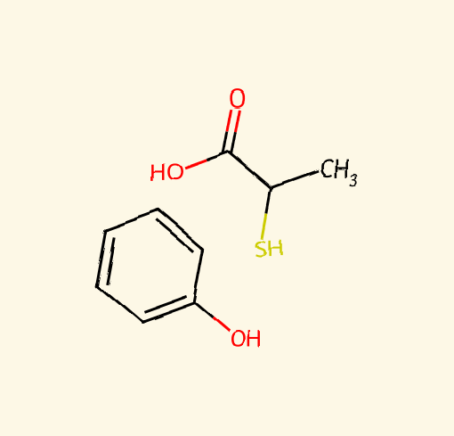 CC(S)C(=O)O.Oc1ccccc1